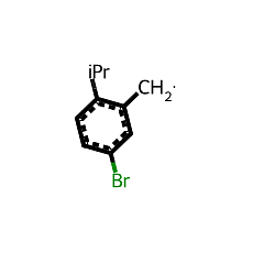 [CH2]c1cc(Br)ccc1C(C)C